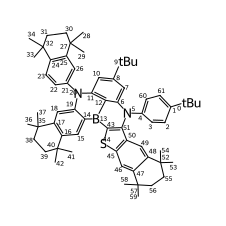 CC(C)(C)c1ccc(N2c3cc(C(C)(C)C)cc4c3B(c3cc5c(cc3N4c3ccc4c(c3)C(C)(C)CCC4(C)C)C(C)(C)CCC5(C)C)c3sc4cc5c(cc4c32)C(C)(C)CCC5(C)C)cc1